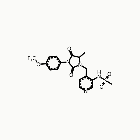 CC1C(=O)N(c2ccc(OC(F)(F)F)cc2)C(=O)N1Cc1ccncc1NS(C)(=O)=O